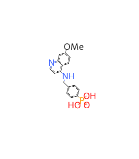 COc1ccc2c(NCc3ccc(P(=O)(O)O)cc3)ccnc2c1